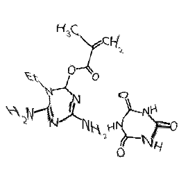 C=C(C)C(=O)OC1N=C(N)N=C(N)N1CC.O=c1[nH]c(=O)[nH]c(=O)[nH]1